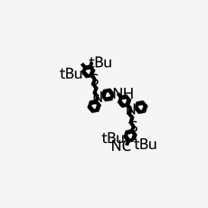 Cc1c(C(C)(C)C)cc(SCCCN(c2ccccc2)c2ccc(Nc3ccc(N(CCCSc4cc(C(C)(C)C)c(C#N)c(C(C)(C)C)c4)c4ccccc4)cc3)cc2)cc1C(C)(C)C